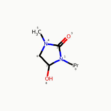 CC(C)N1C(=O)N(C)CC1O